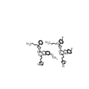 CCCCC1(c2ccccc2)CN(C(=O)[C@@H](Cc2ccc(OC)cc2)NC(=O)CCc2c[nH]cn2)C1.CCCCOC1(c2ccc(F)cc2)CN(C(=O)[C@@H](Cc2cccc(F)c2)NC(=O)CCc2c[nH]cn2)C1